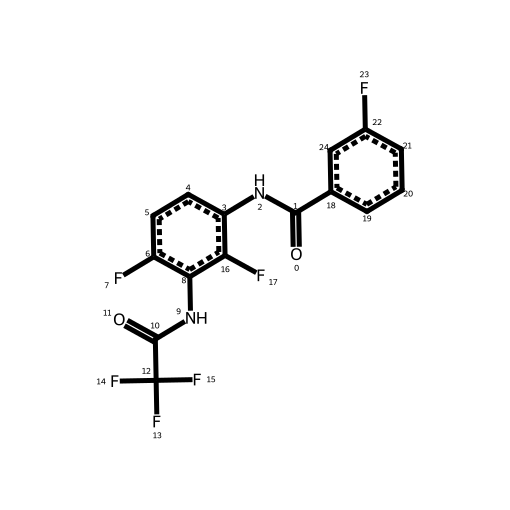 O=C(Nc1ccc(F)c(NC(=O)C(F)(F)F)c1F)c1cccc(F)c1